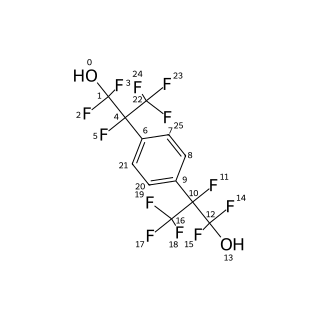 OC(F)(F)C(F)(c1ccc(C(F)(C(O)(F)F)C(F)(F)F)cc1)C(F)(F)F